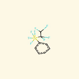 FC(F)C(F)(F)S(F)(F)(F)(F)c1ccccc1